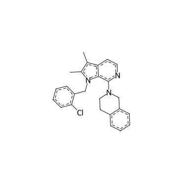 Cc1c(C)n(Cc2ccccc2Cl)c2c(N3CCc4ccccc4C3)nccc12